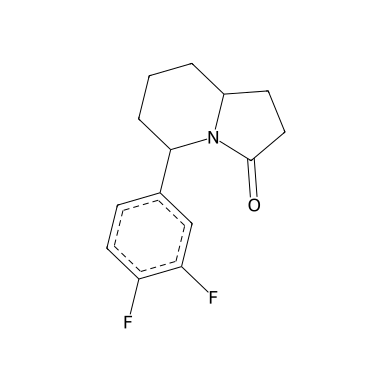 O=C1CCC2CCCC(c3ccc(F)c(F)c3)N12